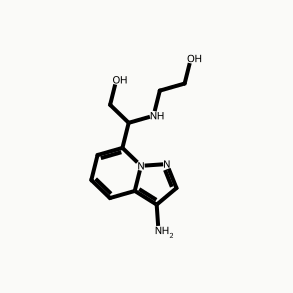 Nc1cnn2c(C(CO)NCCO)cccc12